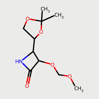 COCOC1C(=O)NC1C1COC(C)(C)O1